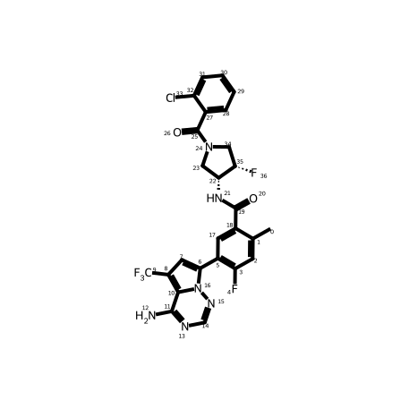 Cc1cc(F)c(-c2cc(C(F)(F)F)c3c(N)ncnn23)cc1C(=O)N[C@@H]1CN(C(=O)c2ccccc2Cl)C[C@@H]1F